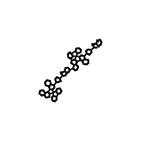 c1ccc2c(c1)-c1ccccc1C21c2ccc3ccccc3c2-c2c1cc(-c1ccc(-c3cn4cc(-c5cccc6c7c(ccc56)C5(c6ccccc6-c6ccccc65)c5cc(-c6ccc(-c8cn9cccnc9n8)cc6)c6ccccc6c5-7)ccc4n3)cc1)c1ccccc21